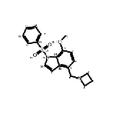 COc1ccc(CN2CCC2)c2ccn(S(=O)(=O)c3ccccc3)c12